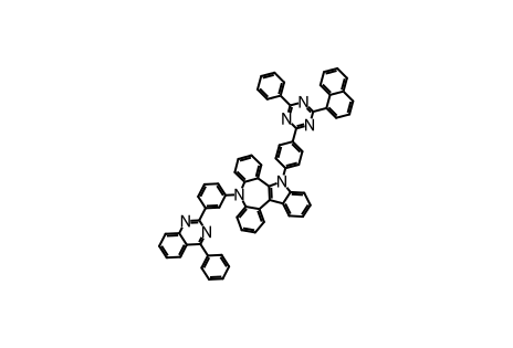 c1ccc(-c2nc(-c3ccc(-n4c5c(c6ccccc64)-c4ccccc4N(c4cccc(-c6nc(-c7ccccc7)c7ccccc7n6)c4)c4ccccc4-5)cc3)nc(-c3cccc4ccccc34)n2)cc1